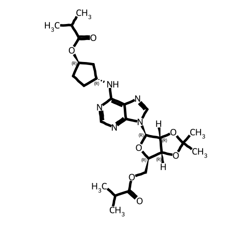 CC(C)C(=O)OC[C@H]1O[C@@H](n2cnc3c(N[C@@H]4CC[C@@H](OC(=O)C(C)C)C4)ncnc32)[C@@H]2OC(C)(C)O[C@@H]21